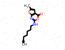 C#CCCCCCNc1nc2sc(C)cc2c(=O)o1